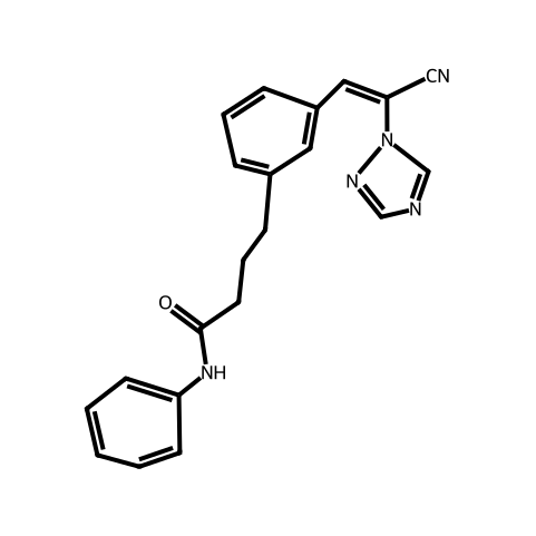 N#CC(=Cc1cccc(CCCC(=O)Nc2ccccc2)c1)n1cncn1